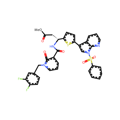 COC(=O)C[C@@H](NC(=O)c1cccn(Cc2ccc(F)c(F)c2)c1=O)c1ccc(-c2cn(S(=O)(=O)c3ccccc3)c3ncccc23)s1